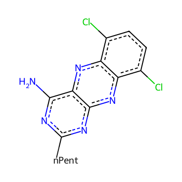 CCCCCc1nc(N)c2nc3c(Cl)ccc(Cl)c3nc2n1